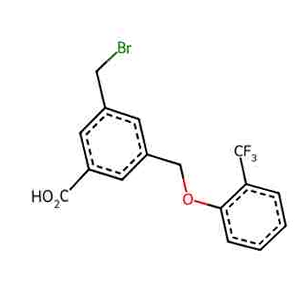 O=C(O)c1cc(CBr)cc(COc2ccccc2C(F)(F)F)c1